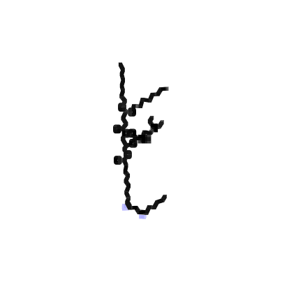 CCCCC/C=C\C/C=C\CCCCCCCC(=O)OCC(COC(=O)CCC(OCCCCCCCC)OCCCCCCCC)OC(=O)NCCN(CC)CC